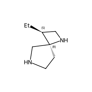 CC[C@H]1CN[C@]12CCNC2